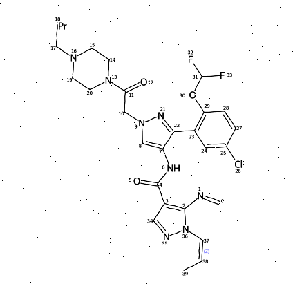 C=Nc1c(C(=O)Nc2cn(CC(=O)N3CCN(CC(C)C)CC3)nc2-c2cc(Cl)ccc2OC(F)F)cnn1/C=C\C